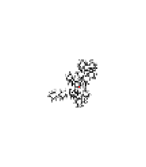 c1ccc(-c2ccc(-c3nc(-c4cccc5c4oc4ccccc45)nc(-c4cccc5oc6ccc(-c7ccc(-c8cccc9c8-c8ccccc8C98c9ccccc9-c9ccccc98)cc7)cc6c45)n3)cc2)cc1